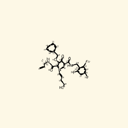 C=C[C@H](C)NC(=O)c1c(OCc2ccccc2)c(=O)c(C(=O)NCc2c(F)cc(F)cc2F)cn1C=C[CH]CO